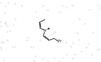 C=[N+](/C=C\C)/C=C\CC(C)C